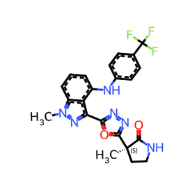 Cn1nc(-c2nnc([C@]3(C)CCNC3=O)o2)c2c(Nc3ccc(C(F)(F)F)cc3)cccc21